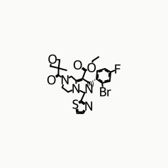 CCOC(=O)C1=C2CN(C(=O)C3(C)COC3)CCN2C(c2nccs2)=N[C@H]1c1ccc(F)cc1Br